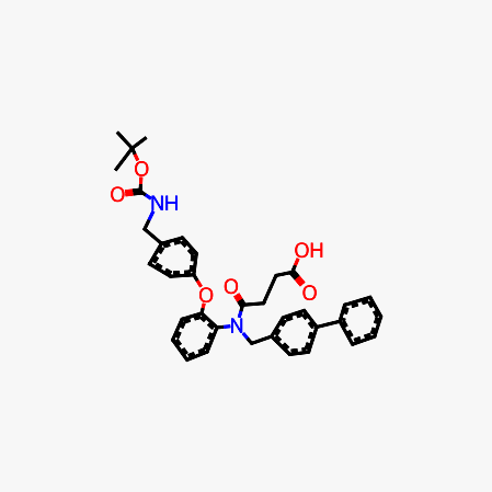 CC(C)(C)OC(=O)NCc1ccc(Oc2ccccc2N(Cc2ccc(-c3ccccc3)cc2)C(=O)CCC(=O)O)cc1